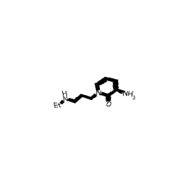 CCNCCCn1cccc(N)c1=O